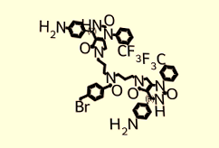 Nc1ccc([C@H]2NC(=O)N(c3cccc(C(F)(F)F)c3)C3=C2C(=O)N(CCCN(CCCN2CC4=C(C2=O)[C@@H](c2ccc(N)cc2)NC(=O)N4c2cccc(C(F)(F)F)c2)C(=O)c2ccc(CBr)cc2)C3)cc1